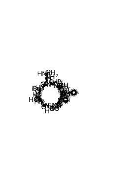 CC[C@H](C)[C@@H]1NC(=O)[C@@H](CCCNC(=N)N)NC(=O)C(CC(C)C)NC(=O)[C@H]([C@H](O)C(C)C)NC(=O)[C@@H](NC(=O)OCc2ccccc2)[C@@H](c2ccccc2)NC(=O)C(CO)NC(=O)CNC(=O)CNC(=O)[C@H]([C@H](C)O)NC1=O